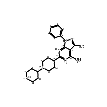 CCc1nn(-c2ccccc2)c2nc(C3CCN(C4CCNCC4)CC3)nc(O)c12